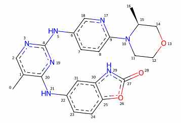 Cc1cnc(Nc2ccc(N3CCOC[C@@H]3C)nc2)nc1Nc1ccc2oc(=O)[nH]c2c1